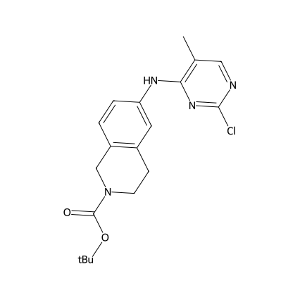 Cc1cnc(Cl)nc1Nc1ccc2c(c1)CCN(C(=O)OC(C)(C)C)C2